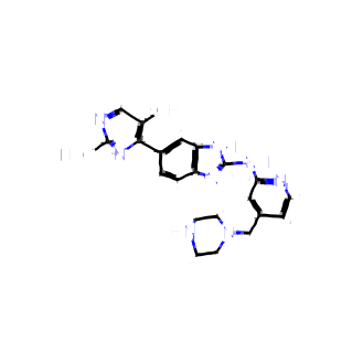 Cc1ncc(C)c(-c2ccc3nc(Nc4cc(CN5CCNCC5)ccn4)[nH]c3c2)n1